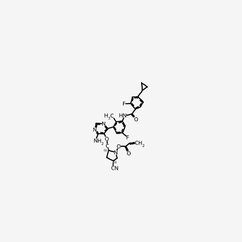 C=CC(=O)ON1C[C@@H](C#N)C[C@H]1COc1c(N)ncnc1-c1cc(F)cc(NC(=O)c2ccc(C3CC3)cc2F)c1C